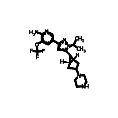 CC(C)n1nc(-c2cnc(N)c(OC(F)(F)F)c2)cc1[C@H]1[C@@H]2CC(N3CCNCC3)C[C@@H]21